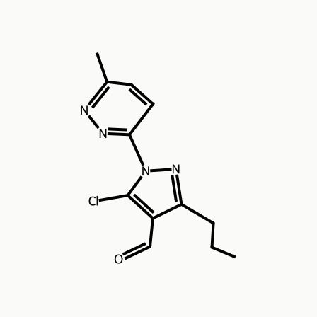 CCCc1nn(-c2ccc(C)nn2)c(Cl)c1C=O